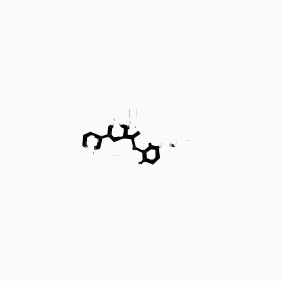 OC(c1c(Cl)ccc(OCC(F)(F)F)c1F)c1c[nH]c2ncc(-c3cccnc3)cc12